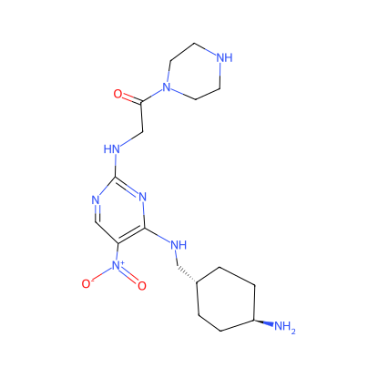 N[C@H]1CC[C@H](CNc2nc(NCC(=O)N3CCNCC3)ncc2[N+](=O)[O-])CC1